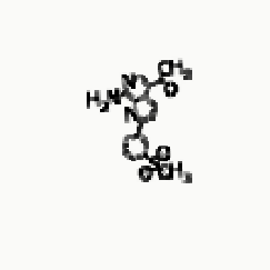 CC(=O)c1cnc(N)c2nc(-c3cccc(S(C)(=O)=O)c3)ccc12